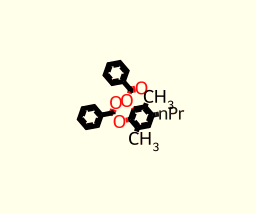 CCCc1cc(C)c(OC(=O)c2ccccc2)c(OC(=O)c2ccccc2)c1C